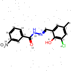 Cc1cc(Cl)c(O)c(/C=N/NC(=O)c2cccc([N+](=O)[O-])c2)c1